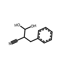 N#CC(Cc1ccccc1)C(O)O